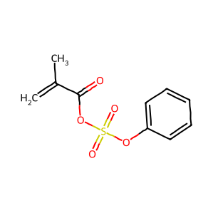 C=C(C)C(=O)OS(=O)(=O)Oc1ccccc1